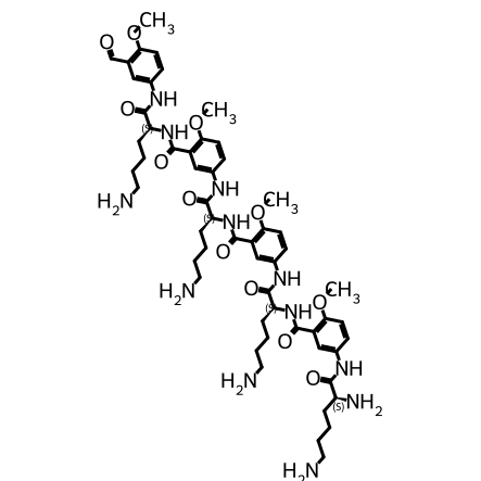 COc1ccc(NC(=O)[C@H](CCCCN)NC(=O)c2cc(NC(=O)[C@H](CCCCN)NC(=O)c3cc(NC(=O)[C@H](CCCCN)NC(=O)c4cc(NC(=O)[C@@H](N)CCCCN)ccc4OC)ccc3OC)ccc2OC)cc1C=O